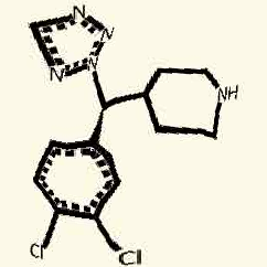 Clc1ccc([C@H](C2CCNCC2)n2ncnn2)cc1Cl